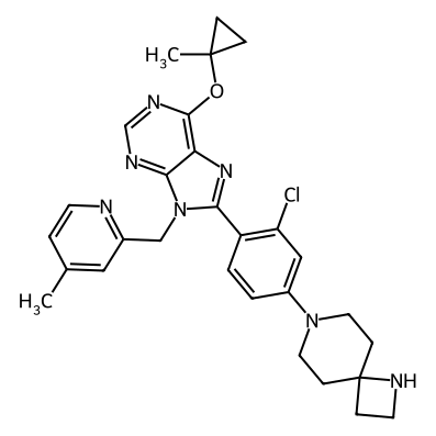 Cc1ccnc(Cn2c(-c3ccc(N4CCC5(CCN5)CC4)cc3Cl)nc3c(OC4(C)CC4)ncnc32)c1